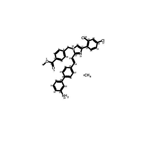 C.COC(=O)c1ccc(Cn2cc(-c3ccc(Cl)cc3Cl)nc2C=Cc2ccc(-c3cccc(N)c3)cc2)cc1